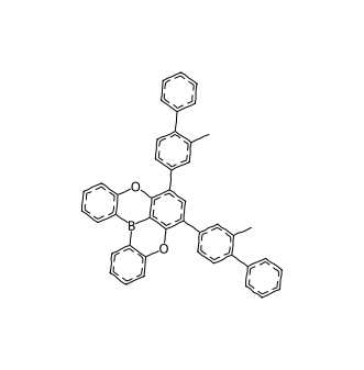 Cc1cc(-c2cc(-c3ccc(-c4ccccc4)c(C)c3)c3c4c2Oc2ccccc2B4c2ccccc2O3)ccc1-c1ccccc1